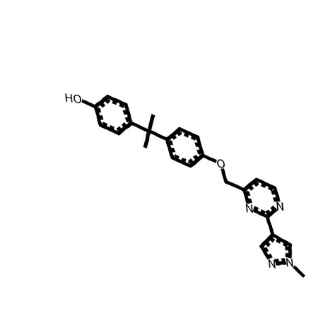 Cn1cc(-c2nccc(COc3ccc(C(C)(C)c4ccc(O)cc4)cc3)n2)cn1